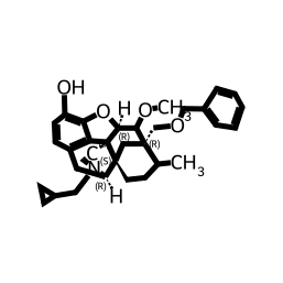 COC1[C@@H]2Oc3c(O)ccc4c3[C@@]23CCN(CC2CC2)[C@H](C4)[C@]32CCC(C)[C@@]1(COCc1ccccc1)C2